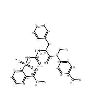 CCN(C(=O)[C@H](Cc1ccccc1)NC(=O)NS(=O)(=O)c1ccccc1C(=O)OC)c1ccc(OC)cc1